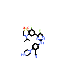 CC(C)N1CCS(=O)(=O)c2c(F)cc(-c3nc(Nc4ccc(N5CCNCC5)c(C#N)c4)ncc3F)cc21